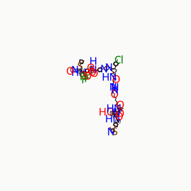 Cc1ncsc1-c1ccc([C@H](C)NC(=O)[C@@H]2C[C@@H](O)CN2C(=O)[C@@H](NC(=O)CCCCCOCc2cn(CCCC(=O)NCC3(C)CCC(c4ccc(Cl)cc4)=C(CN4CCN(c5ccc(C(=O)NS(=O)(=O)c6ccc(N[C@H](CCN7CCOCC7)CSc7ccccc7)c(S(=O)(=O)C(F)(F)F)c6)cc5)CC4)C3)nn2)C(C)(C)C)cc1